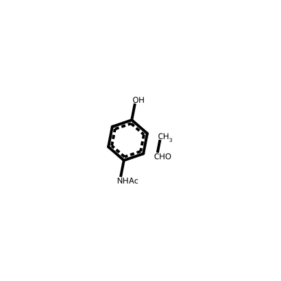 CC(=O)Nc1ccc(O)cc1.CC=O